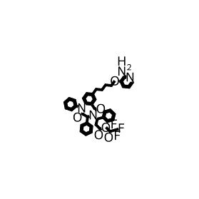 Nc1ncccc1OCCCCc1ccc2c(c1)C(=O)N(C(CC(=O)OC(=O)C(F)(F)F)c1ccccc1)C(c1ccccc1)C(=O)N2c1ccccc1